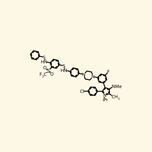 CNc1c(-c2cc(F)cc(N3CCN(c4ccc(NSc5ccc(NSc6ccccc6)c(S(=O)(=O)C(F)(F)F)c5)cc4)CC3)c2)c(-c2ccc(Cl)cc2)n(C(C)C)c1C